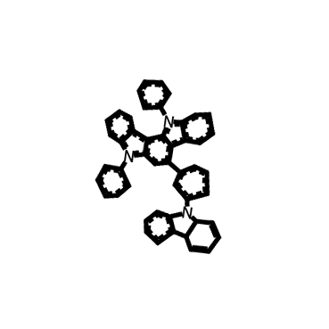 C1=CC2c3ccccc3N(c3cccc(-c4cc5c(c6ccccc6n5-c5ccccc5)c5c4c4ccccc4n5-c4ccccc4)c3)C2C=C1